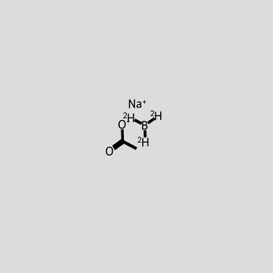 CC(=O)[O-].[2H]B([2H])[2H].[Na+]